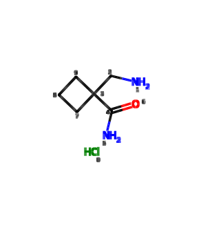 Cl.NCC1(C(N)=O)CCC1